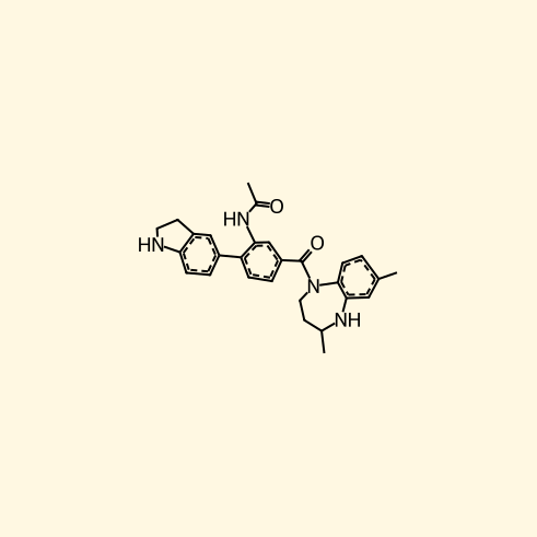 CC(=O)Nc1cc(C(=O)N2CCC(C)Nc3cc(C)ccc32)ccc1-c1ccc2c(c1)CCN2